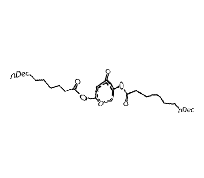 CCCCCCCCCCCCCCCC(=O)Oc1cc(=O)c(OC(=O)CCCCCCCCCCCCCCC)co1